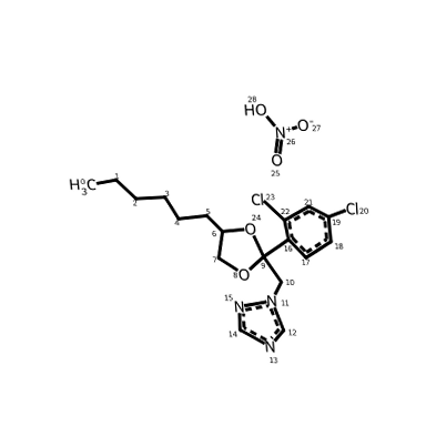 CCCCCCC1COC(Cn2cncn2)(c2ccc(Cl)cc2Cl)O1.O=[N+]([O-])O